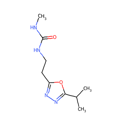 CNC(=O)NCCc1nnc(C(C)C)o1